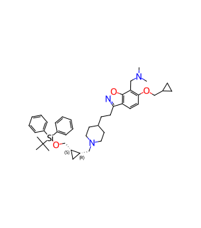 CN(C)Cc1c(OCC2CC2)ccc2c(CCC3CCN(C[C@@H]4C[C@@H]4CO[Si](c4ccccc4)(c4ccccc4)C(C)(C)C)CC3)noc12